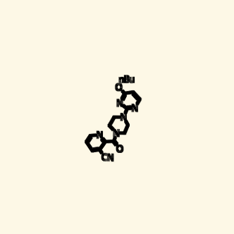 CCCCOc1ccnc(N2CCN(C(=O)c3ncccc3C#N)CC2)n1